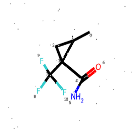 CC1CC1(C(N)=O)C(F)(F)F